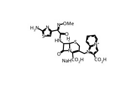 CO/N=C(\C(=O)N[C@@H]1C(=O)N2C(C(=O)O)=C(Cn3c(C(=O)O)c[n+]4ccccc34)CS[C@H]12)c1csc(N)n1.[NaH]